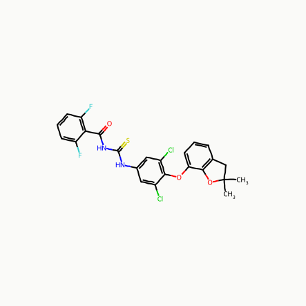 CC1(C)Cc2cccc(Oc3c(Cl)cc(NC(=S)NC(=O)c4c(F)cccc4F)cc3Cl)c2O1